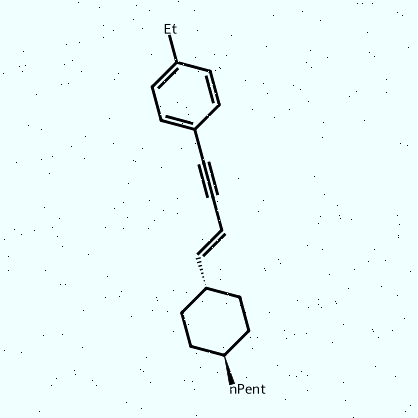 CCCCC[C@H]1CC[C@H](C=CC#Cc2ccc(CC)cc2)CC1